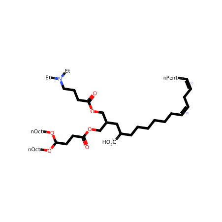 CCCCC/C=C\C/C=C\CCCCCCC(CC(COC(=O)CCCN(CC)CC)COC(=O)CCC(OCCCCCCCC)OCCCCCCCC)C(=O)O